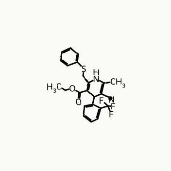 CCOC(=O)C1=C(CSc2ccccc2)NC(C)=C(C#N)C1c1ccccc1C(F)(F)F